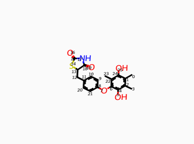 Cc1c(C)c(O)c(Oc2ccc(CC3SC(=O)NC3=O)cc2)c(C)c1O